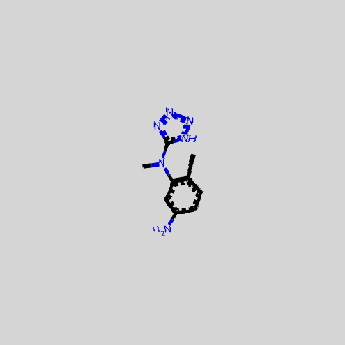 Cc1ccc(N)cc1N(C)c1nnn[nH]1